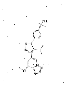 COc1cc(-c2[nH]nc(-c3ccc(C(C)(C)N)cc3)c2C(C)C)cn2ncnc12